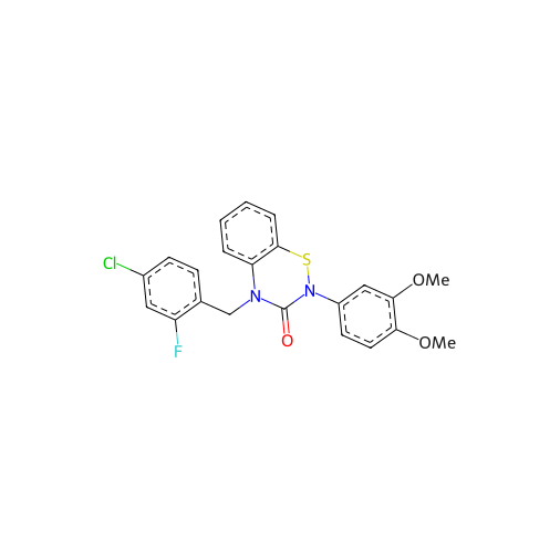 COc1ccc(N2Sc3ccccc3N(Cc3ccc(Cl)cc3F)C2=O)cc1OC